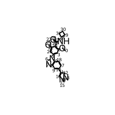 COc1cc(-n2cnc3cc(-c4cnn(C)c4)ccc32)cc(OC)c1C(=O)NC1CCC1